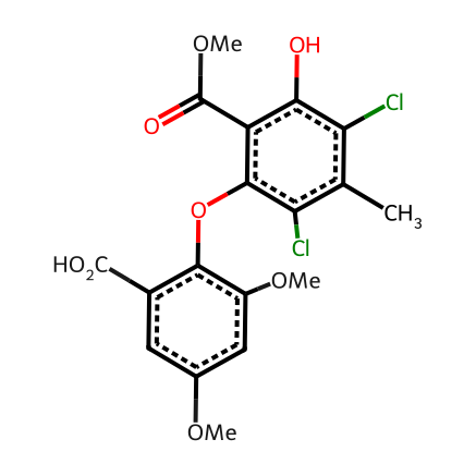 COC(=O)c1c(O)c(Cl)c(C)c(Cl)c1Oc1c(OC)cc(OC)cc1C(=O)O